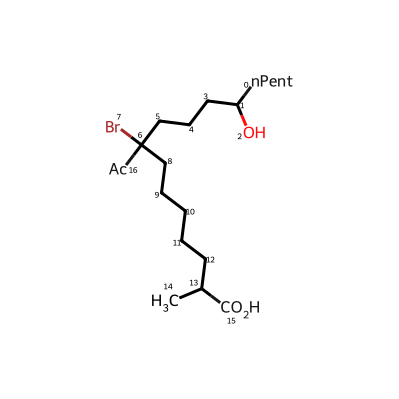 CCCCCC(O)CCCC(Br)(CCCCCC(C)C(=O)O)C(C)=O